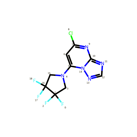 FC1(F)CN(c2cc(Cl)nc3ncnn23)CC1(F)F